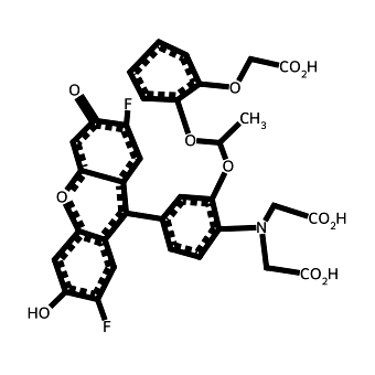 CC(Oc1ccccc1OCC(=O)O)Oc1cc(-c2c3cc(F)c(=O)cc-3oc3cc(O)c(F)cc23)ccc1N(CC(=O)O)CC(=O)O